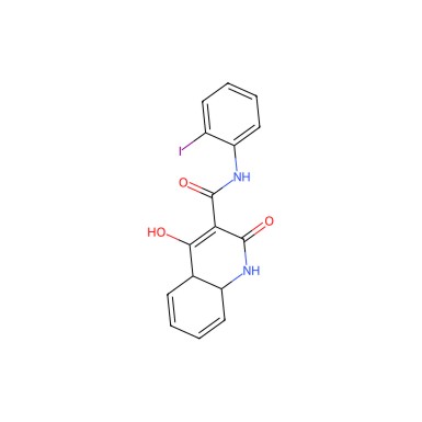 O=C(Nc1ccccc1I)C1=C(O)C2C=CC=CC2NC1=O